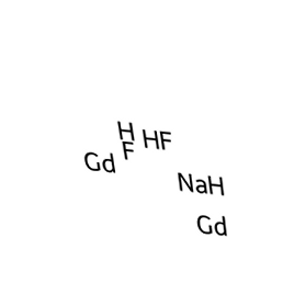 F.F.[Gd].[Gd].[NaH]